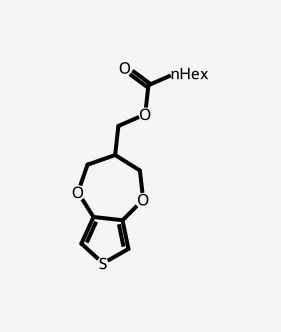 CCCCCCC(=O)OCC1COc2cscc2OC1